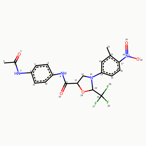 CC(=O)Nc1ccc(NC(=O)C2CN(c3ccc([N+](=O)[O-])c(C)c3)C(C(F)(F)F)O2)cc1